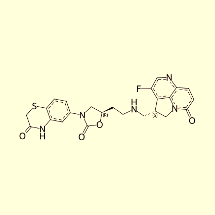 O=C1CSc2ccc(N3C[C@@H](CCNC[C@H]4Cn5c(=O)ccc6ncc(F)c4c65)OC3=O)cc2N1